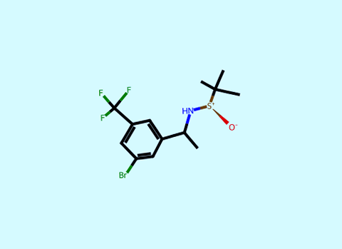 CC(N[S@+]([O-])C(C)(C)C)c1cc(Br)cc(C(F)(F)F)c1